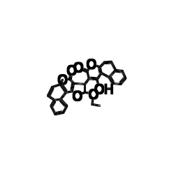 CCOC1Oc2c(c(=O)oc3ccc4ccccc4c23)C1c1c(O)c2c(ccc3ccccc32)oc1=O